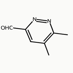 Cc1cc(C=O)nnc1C